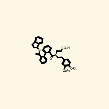 CCOc1ccc(CCN(CCC(=O)O)C(=O)c2ccccc2-c2ccccc2C(=O)NC2CCc3ccccc32)cc1OC